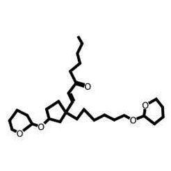 CCCCCC(=O)C=CC1(CCCCCCOC2CCCCO2)CCC(OC2CCCCO2)C1